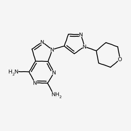 Nc1nc(N)c2cnn(-c3cnn(C4CCOCC4)c3)c2n1